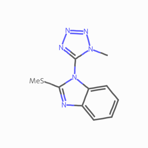 CSc1nc2ccccc2n1-c1nnnn1C